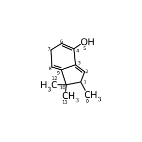 CC1C=C2C(O)=CCC=C2C1(C)C